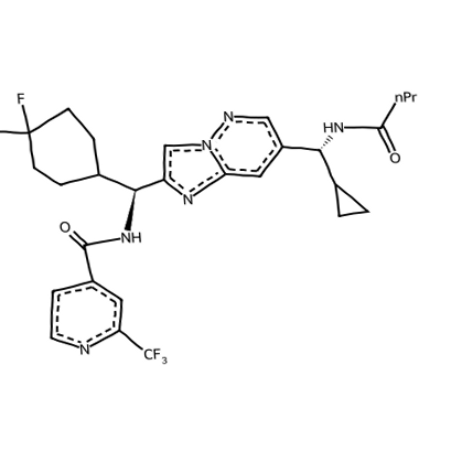 CCCC(=O)N[C@@H](c1cnn2cc([C@@H](NC(=O)c3ccnc(C(F)(F)F)c3)C3CCC(F)(F)CC3)nc2c1)C1CC1